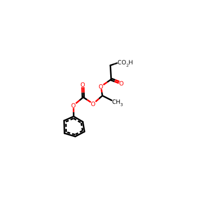 CC(OC(=O)CC(=O)O)OC(=O)Oc1ccccc1